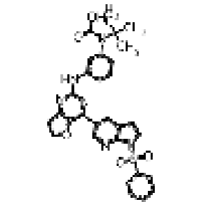 CC(C)(C)N(C(=O)O)c1cccc(Nc2nc(-c3cnc4c(ccn4S(=O)(=O)c4ccccc4)c3)c3occc3n2)c1